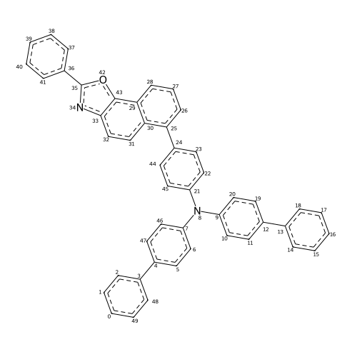 c1ccc(-c2ccc(N(c3ccc(-c4ccccc4)cc3)c3ccc(-c4cccc5c4ccc4nc(-c6ccccc6)oc45)cc3)cc2)cc1